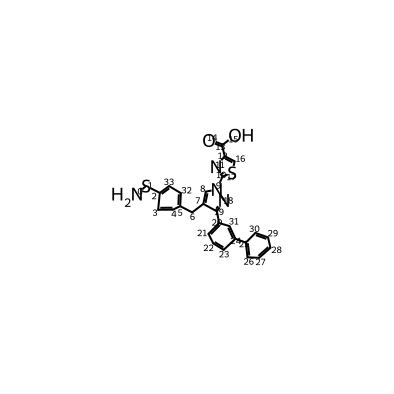 NSc1ccc(Cc2cn(-c3nc(C(=O)O)cs3)nc2-c2cccc(-c3ccccc3)c2)cc1